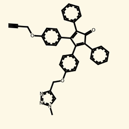 C#CCOc1ccc(C2=C(c3ccccc3)C(=O)C(c3ccccc3)=C2c2ccc(OCc3cn(C)nn3)cc2)cc1